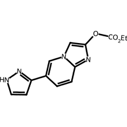 CCOC(=O)Oc1cn2cc(-c3cc[nH]n3)ccc2n1